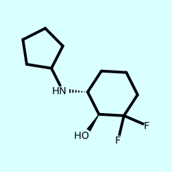 O[C@H]1[C@H](NC2CCCC2)CCCC1(F)F